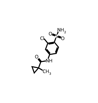 CC1(C(=O)Nc2ccc(S(N)(=O)=O)c(Cl)c2)CC1